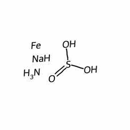 N.O=S(O)O.[Fe].[NaH]